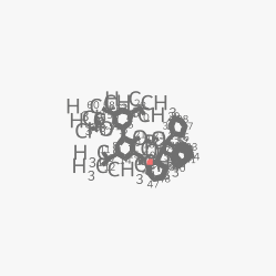 CC(C)(C)c1cc(-c2cc(C(C)(C)C)cc(C(C)(C)C)c2OP2OC(c3ccccc3)(c3ccccc3)C(c3ccccc3)(c3ccccc3)O2)c(OP(Cl)Cl)c(C(C)(C)C)c1